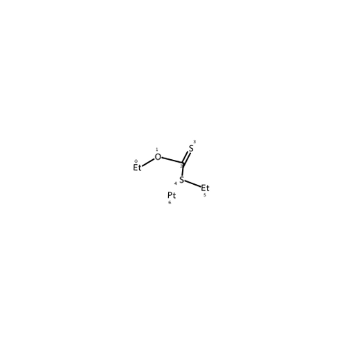 CCOC(=S)SCC.[Pt]